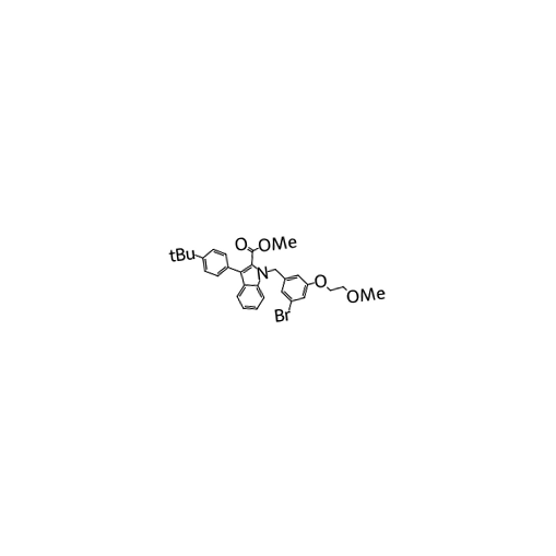 COCCOc1cc(Br)cc(Cn2c(C(=O)OC)c(-c3ccc(C(C)(C)C)cc3)c3ccccc32)c1